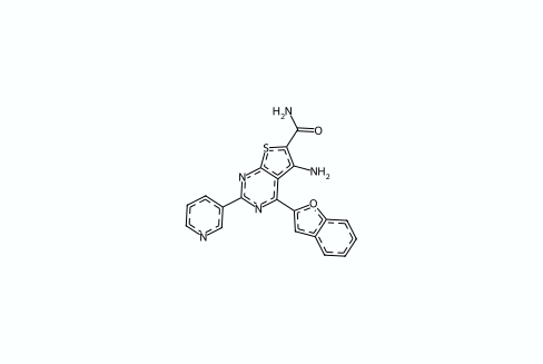 NC(=O)c1sc2nc(-c3cccnc3)nc(-c3cc4ccccc4o3)c2c1N